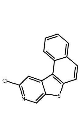 Clc1cc2c(cn1)sc1ccc3ccccc3c12